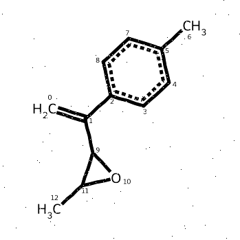 C=C(c1ccc(C)cc1)C1OC1C